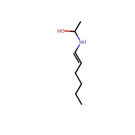 CCCCC=CNC(C)O